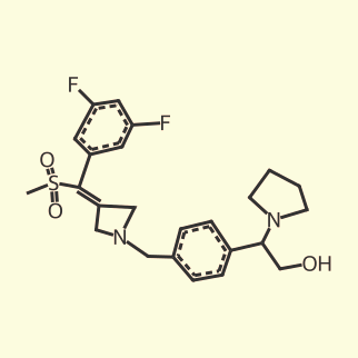 CS(=O)(=O)C(=C1CN(Cc2ccc(C(CO)N3CCCC3)cc2)C1)c1cc(F)cc(F)c1